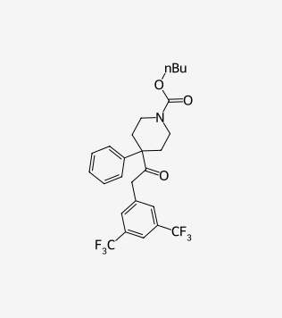 CCCCOC(=O)N1CCC(C(=O)Cc2cc(C(F)(F)F)cc(C(F)(F)F)c2)(c2ccccc2)CC1